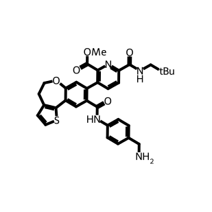 COC(=O)c1nc(C(=O)NCC(C)(C)C)ccc1-c1cc2c(cc1C(=O)Nc1ccc(CN)cc1)-c1sccc1CCO2